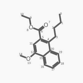 CCCCc1c(C(=O)OCC)cc(OC)c2ccccc12